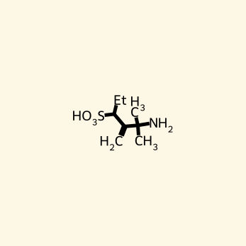 C=C(C(CC)S(=O)(=O)O)C(C)(C)N